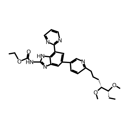 CCOC(=O)Nc1nc2cc(-c3ccc(CCC[C@@H](OC)[C@@H](CC)OC)nc3)cc(-c3ncccn3)c2[nH]1